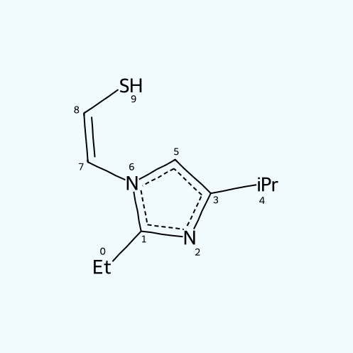 CCc1nc(C(C)C)cn1/C=C\S